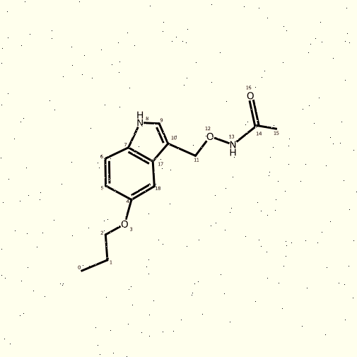 CCCOc1ccc2[nH]cc(CONC(C)=O)c2c1